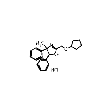 CC1(c2ccccc2)N=C(COC2CCCC2)NC1c1ccccc1.Cl